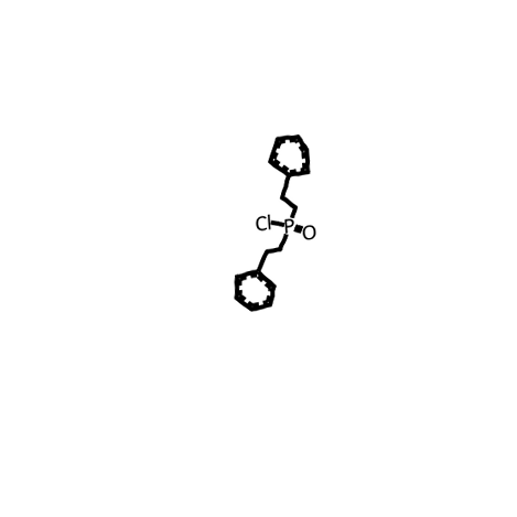 O=P(Cl)(CCc1ccccc1)CCc1ccccc1